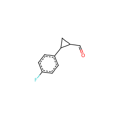 O=CC1CC1c1ccc(F)cc1